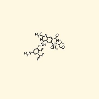 CNc1cc2c(NCc3cc(N)cc(C(F)F)c3F)nc(C)nc2cc1C(=O)N1CC2COCC2C1